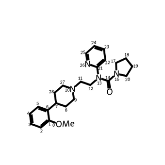 COc1ccccc1C1CCN(CCN(C(=O)N2CCCC2)c2ccccn2)CC1